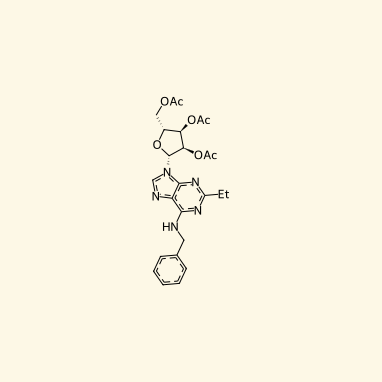 CCc1nc(NCc2ccccc2)c2ncn([C@@H]3O[C@H](COC(C)=O)[C@@H](OC(C)=O)[C@H]3OC(C)=O)c2n1